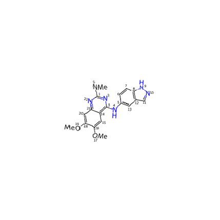 CNc1nc(Nc2ccc3[nH]ncc3c2)c2cc(OC)c(OC)cc2n1